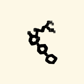 CN(C)/C=C/C(=O)c1nn(-c2ccc(N3CCCCC3)cc2)ccc1=O